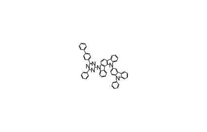 c1ccc(-c2ccc(-c3nc(-c4ccccc4)nc(-n4c5ccccc5c5c4ccc4c6ccccc6n(-c6ccc7c(c6)c6ccccc6n7-c6ccccc6)c45)n3)cc2)cc1